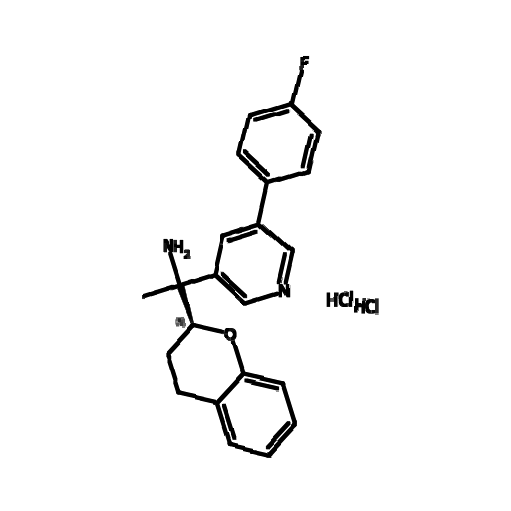 CC(N)(c1cncc(-c2ccc(F)cc2)c1)[C@@H]1CCc2ccccc2O1.Cl.Cl